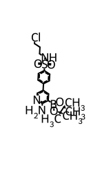 CC1(C)OB(c2cc(-c3ccc(S(=O)(=O)NCCCCl)cc3)cnc2N)OC1(C)C